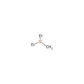 CC[S+](C)CC